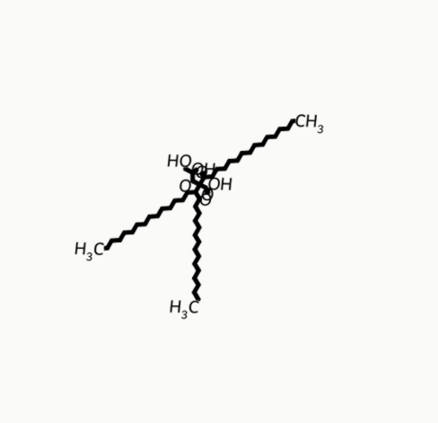 CCCCCCCCCCCCCCCC(=O)C(CCCCCCCCCCCCCCC)C(C(=O)O)(C(=O)CCCCCCCCCCCCCCC)C(=O)C(O)CO